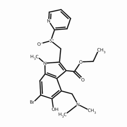 CCOC(=O)c1c(C[S+]([O-])c2ccccn2)n(C)c2cc(Br)c(O)c(CN(C)C)c12